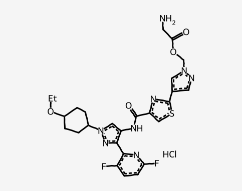 CCOC1CCC(n2cc(NC(=O)c3csc(-c4cnn(COC(=O)CN)c4)n3)c(-c3nc(F)ccc3F)n2)CC1.Cl